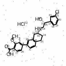 COc1cc(-c2ccc3c(c2)C[C@@H](NC[C@H](O)c2cccc(Cl)c2)CC3)ccc1C(=O)O.Cl